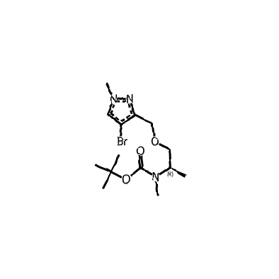 C[C@H](COCc1nn(C)cc1Br)N(C)C(=O)OC(C)(C)C